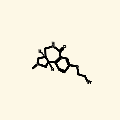 CC(C)CCOc1ccc2c(c1)C(=O)NC[C@@H]1CN(C)C[C@@H]21